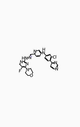 Fc1cnc(N/N=C/c2ccc(Nc3ccc(-c4ccncn4)c(Cl)c3)cn2)nc1N1CCOCC1